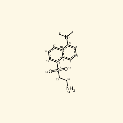 CN(C)c1cccc2c(S(=O)(=O)CCN)cccc12